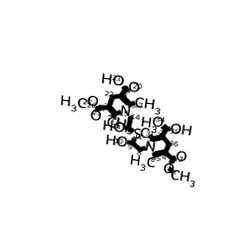 COC(=O)C1=C(C)N(CC(O)SC(O)CN2C(C)=C(C(=O)O)CC(C(=O)OC)=C2C)C(C)=C(C(=O)O)C1